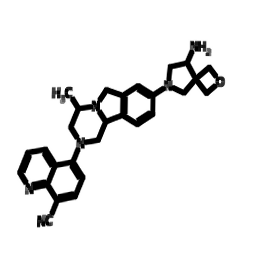 CC1CN(c2ccc(C#N)c3ncccc23)CC2c3ccc(N4CC(N)C5(COC5)C4)cc3CN12